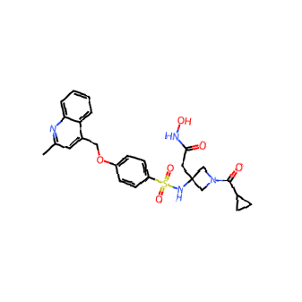 Cc1cc(COc2ccc(S(=O)(=O)NC3(CC(=O)NO)CN(C(=O)C4CC4)C3)cc2)c2ccccc2n1